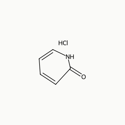 Cl.O=c1cccc[nH]1